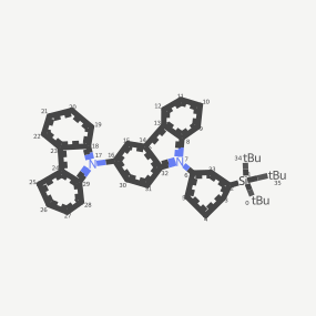 CC(C)(C)[Si](c1cccc(-n2c3ccccc3c3cc(-n4c5ccccc5c5ccccc54)ccc32)c1)(C(C)(C)C)C(C)(C)C